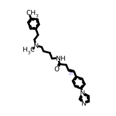 Cc1ccc(CCN(C)CCCCNC(=O)C/C=C/c2ccc(-n3ccnc3)cc2)cc1